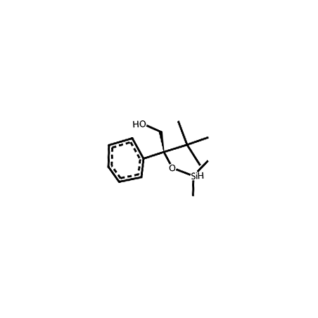 C[SiH](C)O[C@](CO)(c1ccccc1)C(C)(C)C